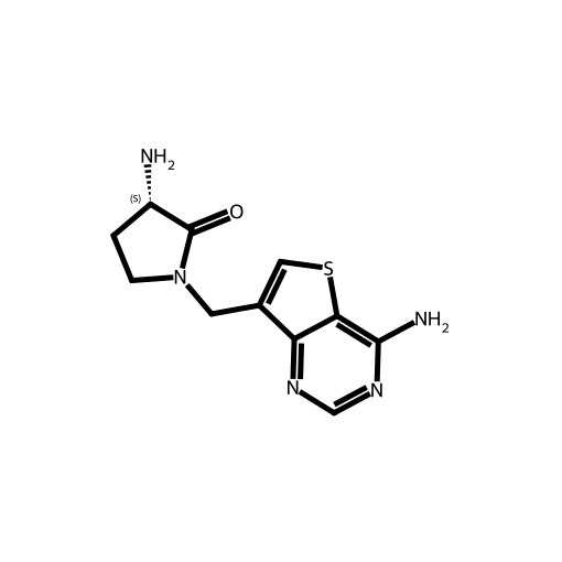 Nc1ncnc2c(CN3CC[C@H](N)C3=O)csc12